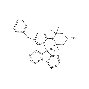 CC1(C)CC(=O)CC(C)(C)P1c1ccc(Cc2ccccc2)cc1C(P)(c1cnccn1)c1cnccn1